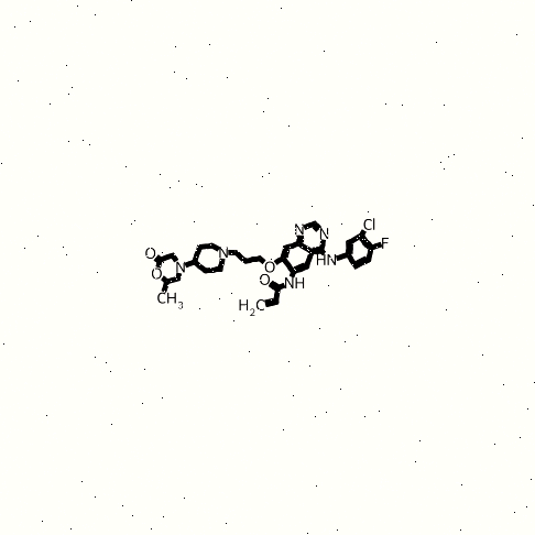 C=CC(=O)Nc1cc2c(Nc3ccc(F)c(Cl)c3)ncnc2cc1OCCCN1CCC(N2CC(=O)OC(C)C2)CC1